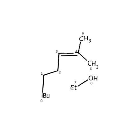 CCC(C)CCC=C(C)C.CCO